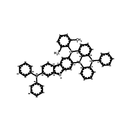 Cc1cccc(C)c1N1c2cc3c(cc2B2c4ccccc4N(c4ccccc4)c4cccc1c42)oc1cc(N(c2ccccc2)c2ccccc2)ccc13